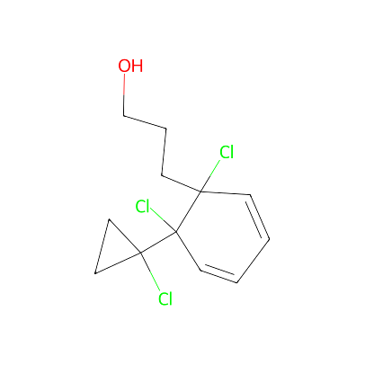 OCCCC1(Cl)C=CC=CC1(Cl)C1(Cl)CC1